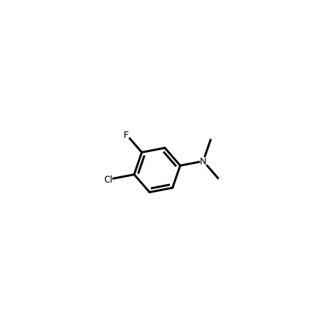 CN(C)c1ccc(Cl)c(F)c1